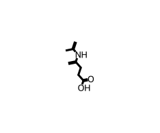 C=C(C)NC(=C)CCC(=O)O